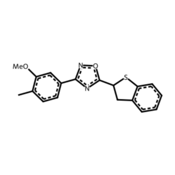 COc1cc(-c2noc(C3Cc4ccccc4S3)n2)ccc1C